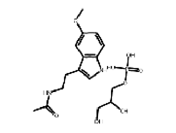 COc1ccc2[nH]cc(CCNC(C)=O)c2c1.O=P(O)(O)OCC(O)CO